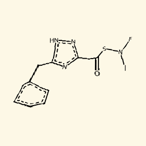 O=C(SN(F)I)c1n[nH]c(Cc2ccccc2)n1